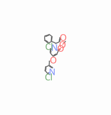 O=c1cc(OCc2ccc(Cl)nc2)ccn1C(C1=COCO1)c1ccccc1Cl